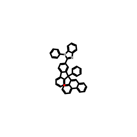 c1ccc(-n2c(-c3ccc4c(c3)C(c3ccccc3)(c3cc5ccccc5c5ccccc35)c3ccccc3-4)nc3ccccc32)cc1